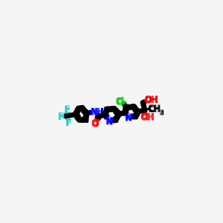 C[C@@](O)(CO)c1cnc(-c2ccc(C(=O)Nc3ccc(C(F)(F)F)cc3)nc2)c(Cl)c1